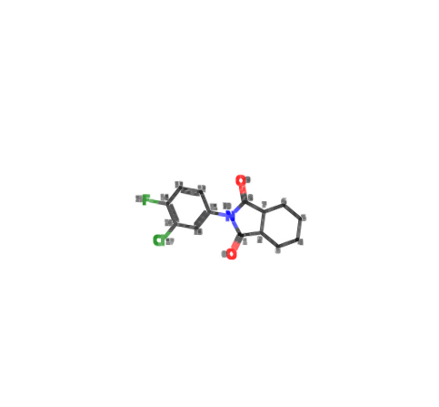 O=C1C2CCCCC2C(=O)N1c1ccc(F)c(Cl)c1